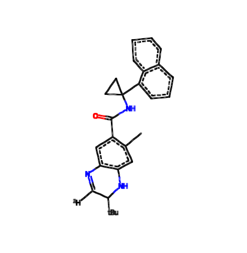 [2H]C1=Nc2cc(C(=O)NC3(c4cccc5ccccc45)CC3)c(C)cc2NC1C(C)(C)C